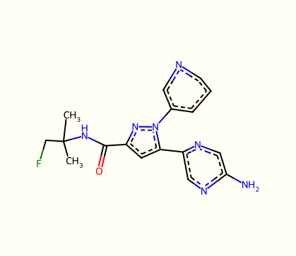 CC(C)(CF)NC(=O)c1cc(-c2cnc(N)cn2)n(-c2cccnc2)n1